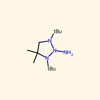 CC(C)(C)N1CC(C)(C)N(C(C)(C)C)N1N